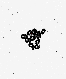 c1ccc(C2=NC(c3ccc(-c4nccc5sc6ccc(C7c8ccccc8-c8c7ccc7c9ccccc9n(-c9ccccc9)c87)cc6c45)cc3)=NC(c3ccccc3)N2)cc1